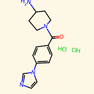 Cl.Cl.NC1CCN(C(=O)c2ccc(-n3ccnc3)cc2)CC1